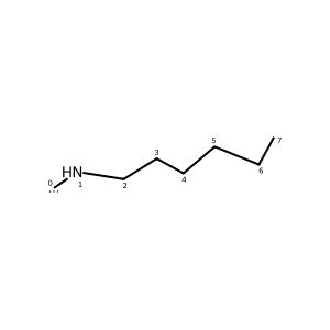 [C]NCCCCCC